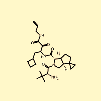 C=CCNC(=O)C(=O)C(CC1CCC1)NC(=O)[C@@H]1[C@H]2CCC3(CC3)[C@H]2CN1C(=O)[C@@H](N)C(C)(C)C